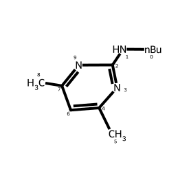 CCCCNc1nc(C)cc(C)n1